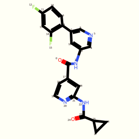 O=C(Nc1cncc(-c2ccc(F)cc2F)c1)c1ccnc(NC(=O)C2CC2)c1